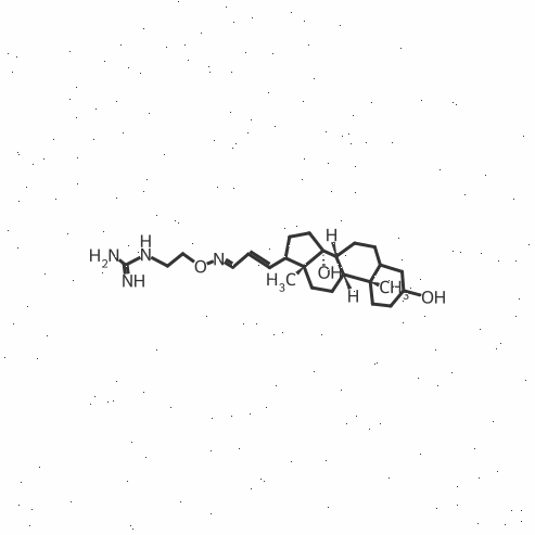 C[C@]12CCC(O)CC1CC[C@@H]1[C@H]2CC[C@]2(C)C(C=C/C=N/OCCNC(=N)N)CC[C@@]12O